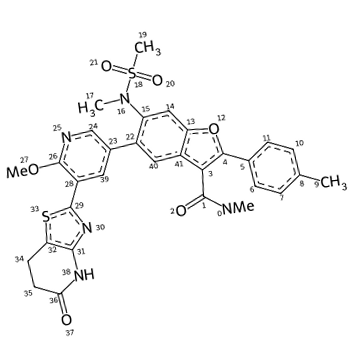 CNC(=O)c1c(-c2ccc(C)cc2)oc2cc(N(C)S(C)(=O)=O)c(-c3cnc(OC)c(-c4nc5c(s4)CCC(=O)N5)c3)cc12